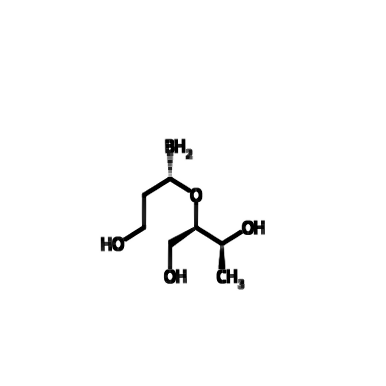 B[C@@H](CCO)O[C@H](CO)[C@H](C)O